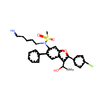 CNC(O)c1c(-c2ccc(F)cc2)oc2cc(N(CCCCC=N)S(C)(=O)=O)c(-c3ccccc3)cc12